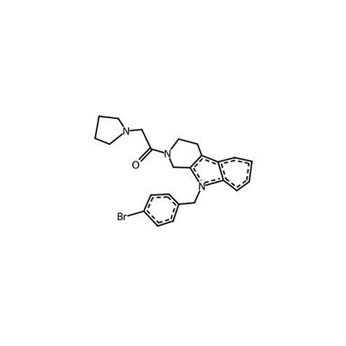 O=C(CN1CCCC1)N1CCc2c(n(Cc3ccc(Br)cc3)c3ccccc23)C1